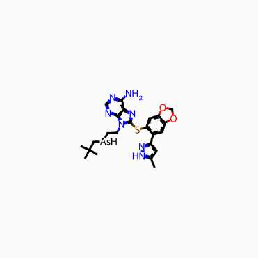 Cc1cc(-c2cc3c(cc2Sc2nc4c(N)ncnc4n2CC[AsH]CC(C)(C)C)OCO3)n[nH]1